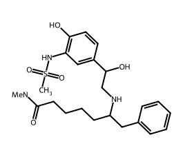 CNC(=O)CCCCC(Cc1ccccc1)NCC(O)c1ccc(O)c(NS(C)(=O)=O)c1